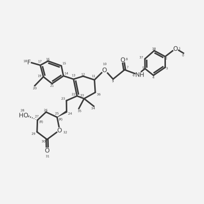 COc1ccc(NC(=O)COC2CC(c3ccc(F)c(C)c3)=C(CC[C@@H]3C[C@@H](O)CC(=O)O3)C(C)(C)C2)cc1